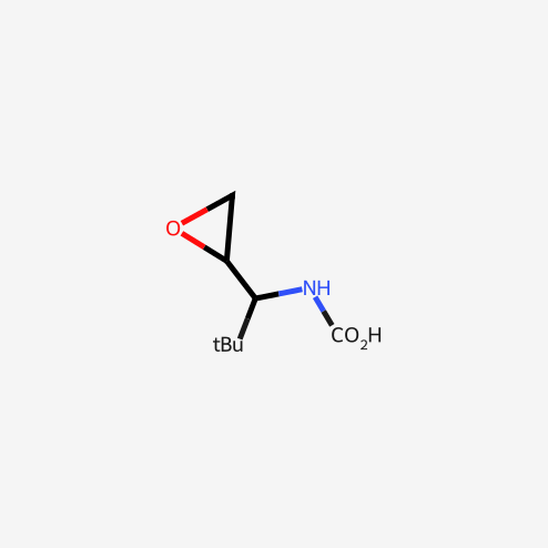 CC(C)(C)C(NC(=O)O)C1CO1